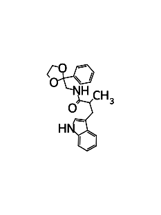 CC(Cc1c[nH]c2ccccc12)C(=O)NCC1(c2ccccc2)OCCO1